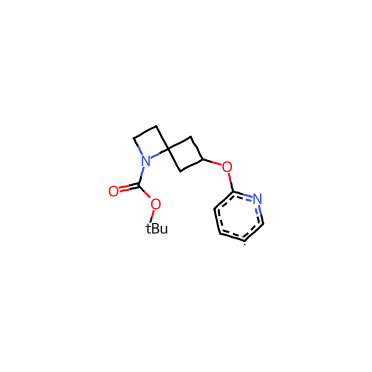 CC(C)(C)OC(=O)N1CCC12CC(Oc1cc[c]cn1)C2